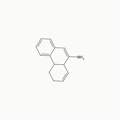 NC1=Cc2ccccc2C2CCC=CC12